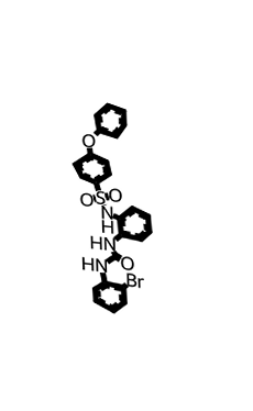 O=C(Nc1ccccc1Br)Nc1ccccc1NS(=O)(=O)c1ccc(Oc2ccccc2)cc1